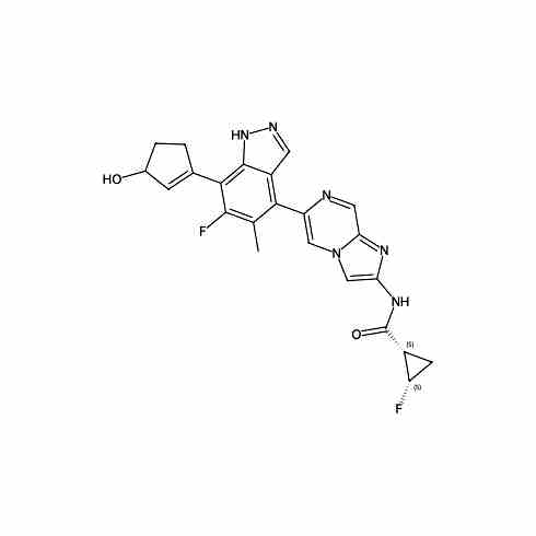 Cc1c(F)c(C2=CC(O)CC2)c2[nH]ncc2c1-c1cn2cc(NC(=O)[C@@H]3C[C@@H]3F)nc2cn1